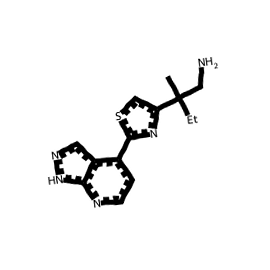 CCC(C)(CN)c1csc(-c2ccnc3[nH]ncc23)n1